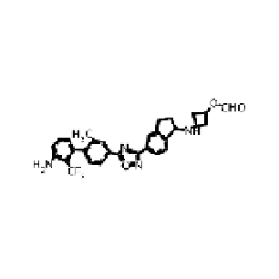 Cc1cc(-c2nc(-c3ccc4c(c3)CCC4NC3CC(OC=O)C3)no2)ccc1-c1cccc(N)c1C(F)(F)F